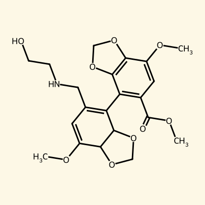 COC(=O)c1cc(OC)c2c(c1C1=C(CNCCO)C=C(OC)C3OCOC13)OCO2